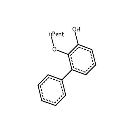 CCCCCOc1c(O)cccc1-c1ccccc1